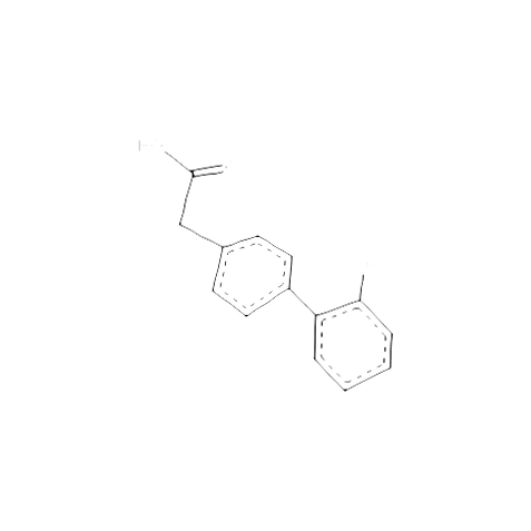 O=C(O)Cc1ccc(-c2ccccc2Br)cc1